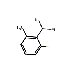 CCC(CC)c1c(F)cccc1C(F)(F)F